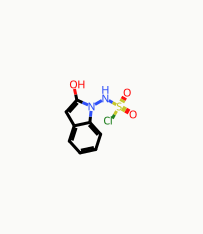 O=S(=O)(Cl)Nn1c(O)cc2ccccc21